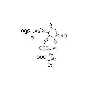 CCC(C(C)=O)C(=O)[O-].CCC(C(C)=O)C(=O)[O-].CCC(C(C)=O)C(=O)[O-].O=C1C=C(N2CC2)C(=O)C(N2CC2)=C1N1CC1.[Al+3]